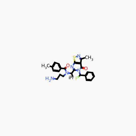 Cc1ccc(C(=O)N(CCCN)C(c2nc3snc(C)c3c(=O)n2C(F)c2ccccc2)C(C)C)cc1